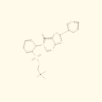 O=c1c2sc(-c3cccnc3)nc2ncn1-c1ccccc1S(=O)(=O)NCC(F)(F)F